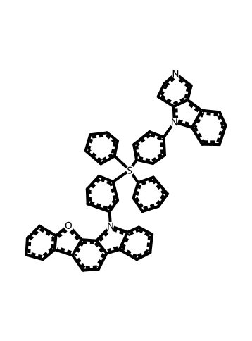 c1ccc(S(c2ccccc2)(c2ccc(-n3c4ccccc4c4cnccc43)cc2)c2cccc(-n3c4ccccc4c4ccc5c6ccccc6oc5c43)c2)cc1